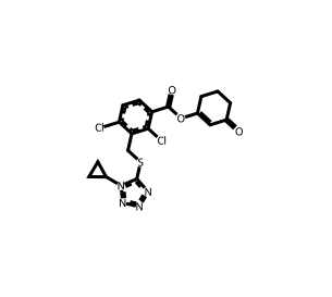 O=C1C=C(OC(=O)c2ccc(Cl)c(CSc3nnnn3C3CC3)c2Cl)CCC1